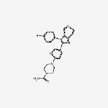 NC(=O)N1CCN(c2ccc(-c3nc4ccncc4n3-c3ccc(F)cc3)cn2)CC1